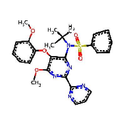 COc1ccccc1Oc1c(OC)nc(-c2ncccn2)nc1N(C(C)(C)C)S(=O)(=O)c1ccccc1